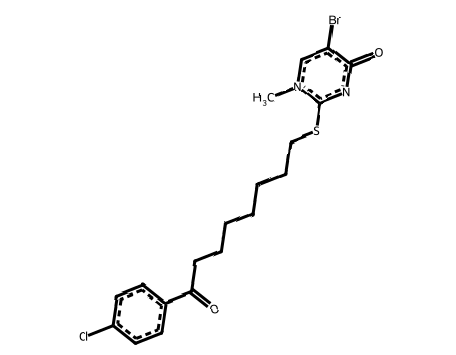 Cn1cc(Br)c(=O)nc1SCCCCCCCC(=O)c1ccc(Cl)cc1